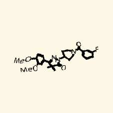 COc1ccc(C2=NN(C3CCN(C(=O)c4cccc(F)c4)CC3)C(=O)C2(C)C)cc1OC